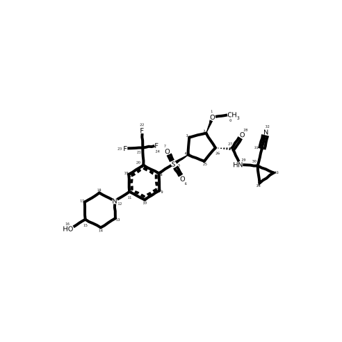 CO[C@@H]1C[C@H](S(=O)(=O)c2ccc(N3CCC(O)CC3)cc2C(F)(F)F)C[C@H]1C(=O)NC1(C#N)CC1